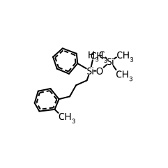 Cc1ccccc1CCC[Si](C)(O[Si](C)(C)C)c1ccccc1